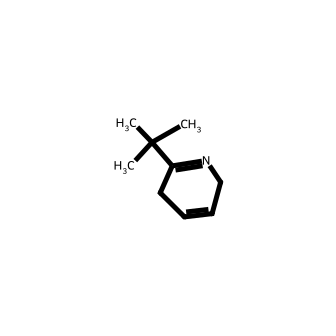 CC(C)(C)C1=NCC=CC1